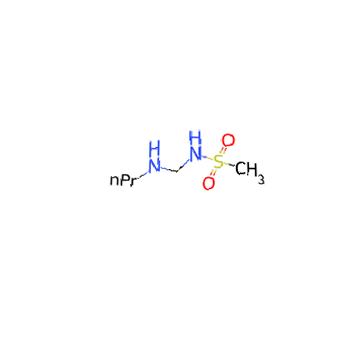 CCCNCNS(C)(=O)=O